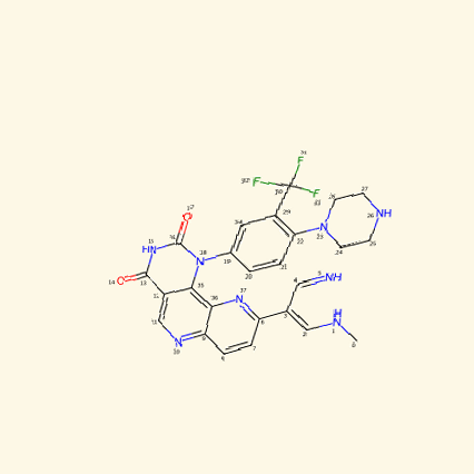 CN/C=C(\C=N)c1ccc2ncc3c(=O)[nH]c(=O)n(-c4ccc(N5CCNCC5)c(C(F)(F)F)c4)c3c2n1